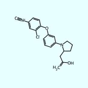 [C-]#[N+]c1ccc(Oc2cccc(N3CCCC3CC(=C)O)c2)c(Cl)c1